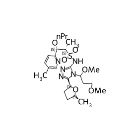 CCCO[C@@H](c1ccc(C)cn1)[C@H](C)S(=O)(=O)Nc1nnc([C@@H]2CC[C@H](C)O2)n1C(CCOC)OC